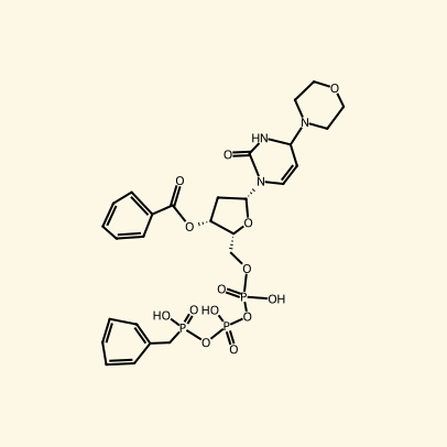 O=C(O[C@@H]1C[C@H](N2C=CC(N3CCOCC3)NC2=O)O[C@@H]1COP(=O)(O)OP(=O)(O)OP(=O)(O)Cc1ccccc1)c1ccccc1